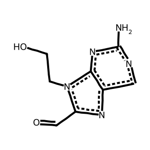 Nc1ncc2nc(C=O)n(CCO)c2n1